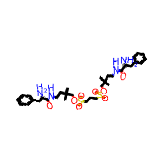 CC(C)(CCNC(=O)[C@H](N)Cc1ccccc1)COS(=O)(=O)CCCS(=O)(=O)OCC(C)(C)CCNC(=O)[C@H](N)Cc1ccccc1